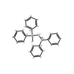 C[Si](O[SiH](c1ccccc1)c1ccccc1)(c1ccccc1)c1ccccc1